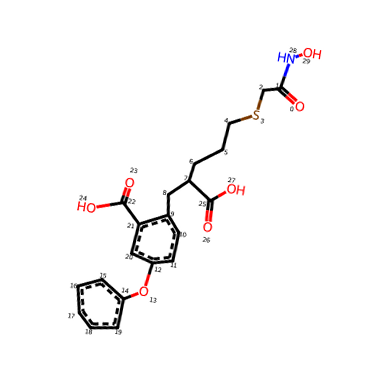 O=C(CSCCCC(Cc1ccc(Oc2ccccc2)cc1C(=O)O)C(=O)O)NO